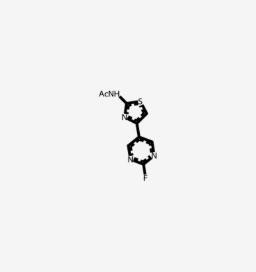 CC(=O)Nc1nc(-c2cnc(F)nc2)cs1